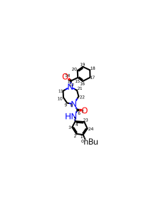 CCCCc1ccc(NC(=O)N2CCCN(C(=O)C3=CCCC=C3)CC2)cc1